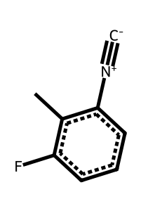 [C-]#[N+]c1cccc(F)c1C